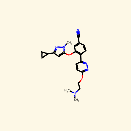 CN(C)CCOc1ccc(-c2ccc(C#N)cc2Oc2cc(C3CC3)nn2C)nn1